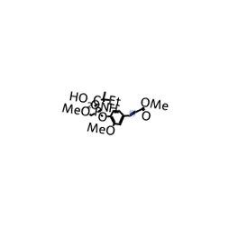 CCC(C)(NP(=O)(COC)Oc1ccc(/C=C/C(=O)OC)cc1OC)C(=O)O